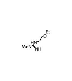 [CH2]COCCNC(=N)NC